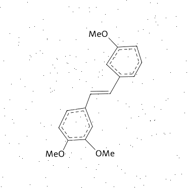 COc1cccc(C=Cc2ccc(OC)c(OC)c2)c1